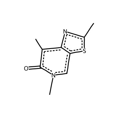 Cc1nc2c(C)c(=O)n(C)cc2s1